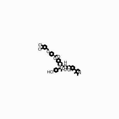 CC[C@@H](c1ccccc1)N1Cc2cc3c(cc2C[C@H]1C(=O)N[C@@H](Cc1ccc(-c2ccnc(C)c2C)cc1)C(=O)O)OC[C@H](c1ccc(OCc2ccc(Cl)c(Cl)c2)cc1)O3.Cl